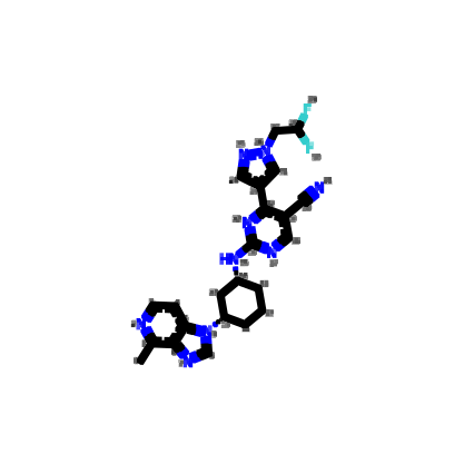 Cc1nccc2c1ncn2[C@H]1CCC[C@@H](Nc2ncc(C#N)c(-c3cnn(CC(F)F)c3)n2)C1